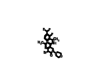 Cc1nc(N[C@H](C)c2cccc(C(F)F)c2F)c2c(n1)C(Br)C(=O)N(N1CCOCC1)C2